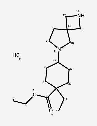 CCOC(=O)C1(CC)CCC(N2CCC3(CNC3)C2)CC1.Cl